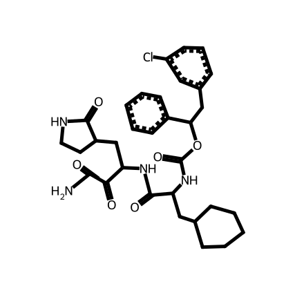 NC(=O)C(=O)C(CC1CCNC1=O)NC(=O)C(CC1CCCCC1)NC(=O)OC(Cc1cccc(Cl)c1)c1ccccc1